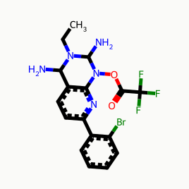 CCN1C(N)c2ccc(-c3ccccc3Br)nc2N(OC(=O)C(F)(F)F)C1N